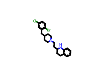 Clc1ccc(Br)c(CC2CCN(CCC3CCc4ccccc4N3)CC2)c1